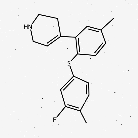 Cc1ccc(Sc2ccc(C)c(F)c2)c(C2=CCNCC2)c1